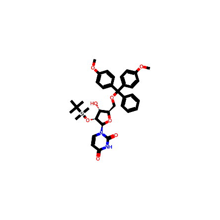 COc1ccc(C(OC[C@H]2O[C@@H](n3ccc(=O)[nH]c3=O)[C@H](O[Si](C)(C)C(C)(C)C)[C@@H]2O)(c2ccccc2)c2ccc(OC)cc2)cc1